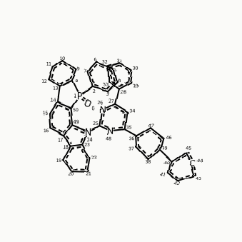 O=P1(c2ccccc2)c2ccccc2-c2ccc3c4ccccc4n(-c4nc(-c5ccccc5)cc(-c5ccc(-c6ccccc6)cc5)n4)c3c21